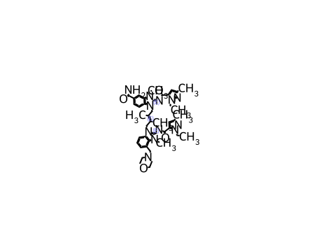 CCn1nc(C)cc1C(=O)/N=c1\n(C)c2cc(C(N)=O)ccc2n1C/C(C)=C(\C)Cn1/c(=N/C(=O)c2cc(C)nn2CC)n(C)c2c(CN3CCOCC3)cccc21